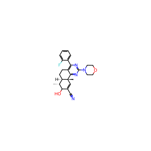 C[C@H]1C(O)C(C#N)=C[C@@]2(C)c3nc(N4CCOCC4)nc(-c4ccccc4F)c3CC[C@H]12